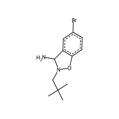 CC(C)(C)CN1Oc2ccc(Br)cc2C1N